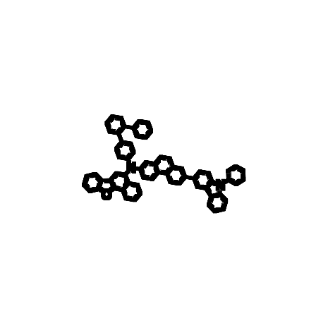 c1ccc(-c2ccccc2-c2ccc(N(c3ccc4c(ccc5cc(-c6ccc7c(c6)c6ccccc6n7-c6ccccc6)ccc54)c3)c3cc4c5ccccc5oc4c4ccccc34)cc2)cc1